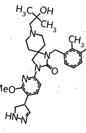 COc1nc(N2CC3(CCN(CC(C)(C)O)CC3)N(Cc3cccc(F)c3C)C2=O)ccc1C1C=NNC1